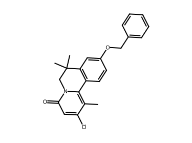 Cc1c(Cl)cc(=O)n2c1-c1ccc(OCc3ccccc3)cc1C(C)(C)C2